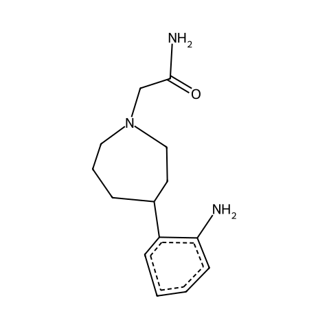 NC(=O)CN1CCCC(c2ccccc2N)CC1